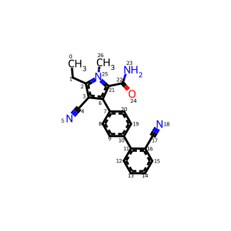 CCc1c(C#N)c(-c2ccc(-c3ccccc3C#N)cc2)c(C(N)=O)n1C